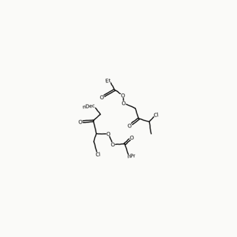 CCC(=O)OOCC(=O)C(C)Cl.CCCCCCCCCCCC(=O)C(CCl)OOC(=O)CCC